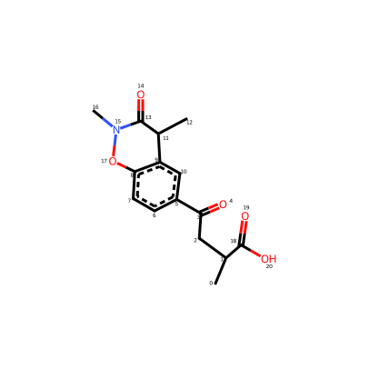 CC(CC(=O)c1ccc2c(c1)C(C)C(=O)N(C)O2)C(=O)O